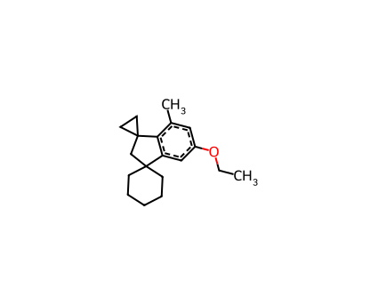 CCOc1cc(C)c2c(c1)C1(CCCCC1)CC21CC1